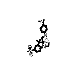 CN(C)c1ccc(/N=C/C23OCCN2c2ccc(S(C)(=O)=O)cc2C3(C)C)cc1